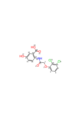 O=C(COc1cccc(Cl)c1Cl)Nc1ccc(O)cc1C(=O)O